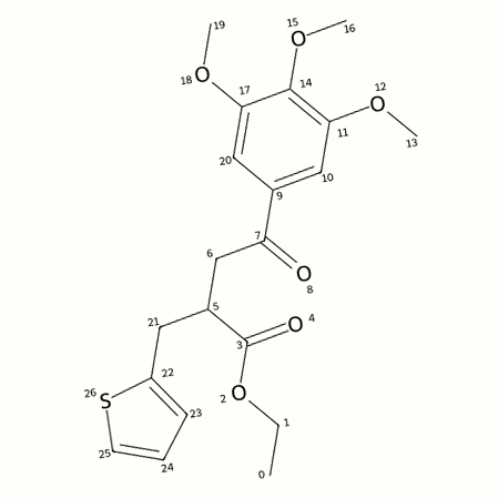 CCOC(=O)C(CC(=O)c1cc(OC)c(OC)c(OC)c1)Cc1cccs1